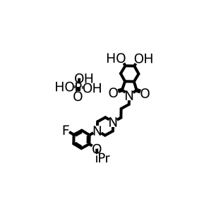 CC(C)Oc1ccc(F)cc1N1CCN(CCCN2C(=O)C3CC(O)C(O)CC3C2=O)CC1.O=P(O)(O)O